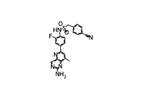 Cc1cc(-c2ccc(NS(=O)(=O)Cc3ccc(C#N)cc3)c(F)c2)nc2cnc(N)nc12